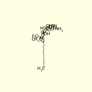 CCCCCCCCCCCCCCCCCCOC[C@H](COP(=O)(O)OC[C@H]1O[C@@](C)(c2ccc3c(N)ncnn23)[C@H](O)[C@@H]1O)N(C)Cc1ccc(F)c(Cl)c1